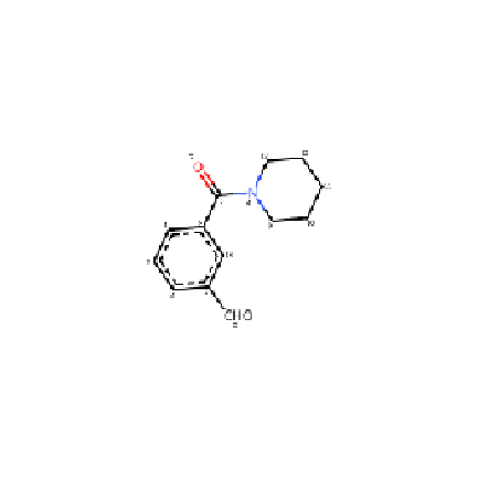 O=Cc1cccc(C(=O)N2CCCCC2)c1